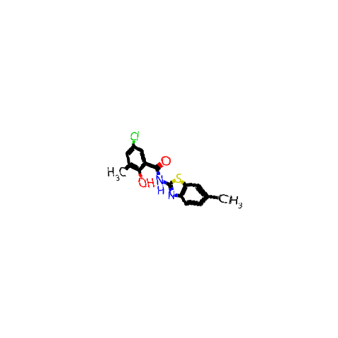 Cc1ccc2nc(NC(=O)c3cc(Cl)cc(C)c3O)sc2c1